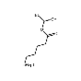 CCCCCCCCCCCC(=O)OC(O)CC